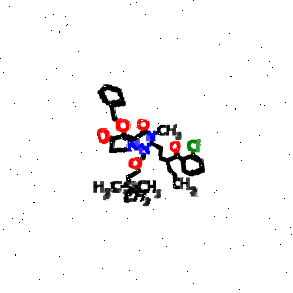 C=CCC(CCC1N(C)C(=O)c2c(OCc3ccccc3)c(=O)ccn2N1COCC[Si](C)(C)C)C(=O)c1ccccc1Cl